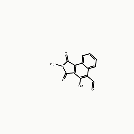 CN1C(=O)c2c(O)c(C=O)c3ccccc3c2C1=O